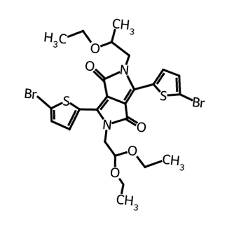 CCOC(C)CN1C(=O)C2=C(c3ccc(Br)s3)N(CC(OCC)OCC)C(=O)C2=C1c1ccc(Br)s1